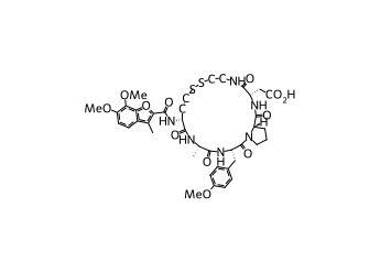 COc1ccc(C[C@@H]2NC(=O)[C@H](C)NC(=O)[C@H](NC(=O)c3oc4c(OC)c(OC)ccc4c3C)CCSSCCNC(=O)[C@H](CC(=O)O)NC(=O)[C@@H]3CCCN3C2=O)cc1